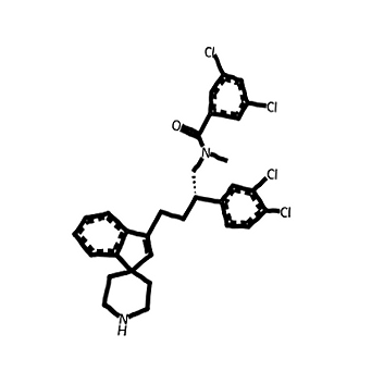 CN(C[C@@H](CCC1=CC2(CCNCC2)c2ccccc21)c1ccc(Cl)c(Cl)c1)C(=O)c1cc(Cl)cc(Cl)c1